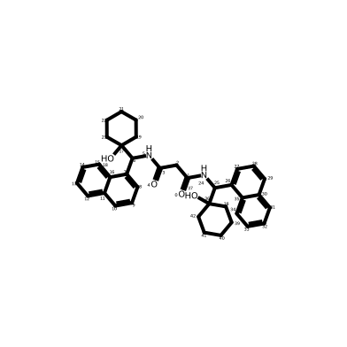 O=C(CC(=O)NC(c1cccc2ccccc12)C1(O)CCCCC1)NC(c1cccc2ccccc12)C1(O)CCCCC1